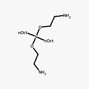 CCCCCCCC[Si](CCCCCCCC)(OCCN)OCCN